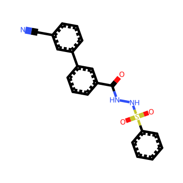 N#Cc1cccc(-c2cccc(C(=O)NNS(=O)(=O)c3ccccc3)c2)c1